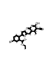 CCOC(=O)c1cc(Br)ccc1-c1ccc(/C=C2\C(=O)N=C(O)C(C#N)=C2C)o1